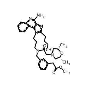 CCCCc1nc2c(N)nc3ccccc3c2n1CCCN(Cc1cccc(CC(=O)OC)c1)C(=O)CN1C[C@@H](C)O[C@@H](C)C1